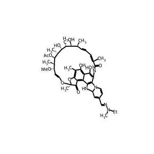 CCN(C)/N=C/C1=CC2Nc3c(c4c(O)c5c(O)c(C)c6c(c35)C(=O)[C@@](C)(O/C=C/[C@H](OC)[C@@H](C)[C@@H](OC(C)=O)[C@H](C)[C@H](O)[C@H](C)[C@@H](O)[C@@H](C)/C=C/C=C(/C)C(=O)N4)O6)N2C=C1